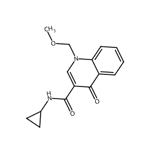 COCn1cc(C(=O)NC2CC2)c(=O)c2ccccc21